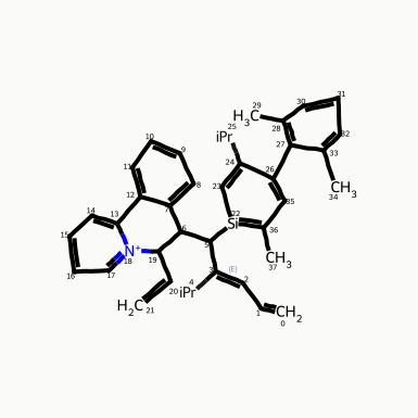 C=C/C=C(\C(C)C)C(C1c2ccccc2-c2cccc[n+]2C1C=C)[si]1cc(C(C)C)c(-c2c(C)cccc2C)cc1C